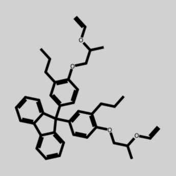 C=COC(C)COc1ccc(C2(c3ccc(OCC(C)OC=C)c(CCC)c3)c3ccccc3-c3ccccc32)cc1CCC